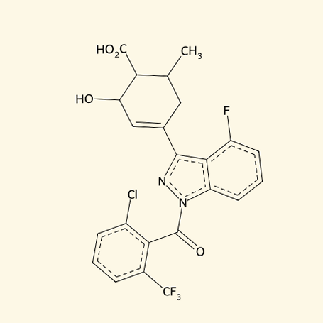 CC1CC(c2nn(C(=O)c3c(Cl)cccc3C(F)(F)F)c3cccc(F)c23)=CC(O)C1C(=O)O